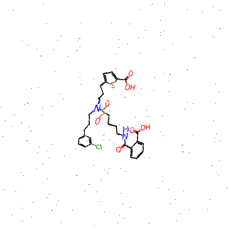 O=C(O)c1ccc(CCCN(CCCc2cccc(Cl)c2)S(=O)(=O)CCCCNC(=O)c2ccccc2C(=O)O)s1